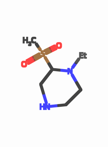 [CH2]CN1CCNCC1S(C)(=O)=O